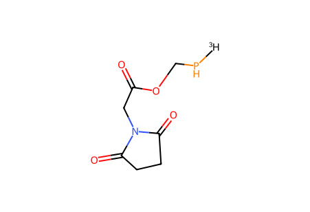 [3H]PCOC(=O)CN1C(=O)CCC1=O